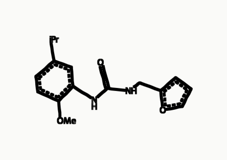 COc1ccc(C(C)C)cc1NC(=O)NCc1ccco1